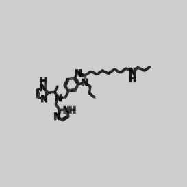 CCCNCCCCCCCc1nc2ccc(CN(Cc3ncc[nH]3)C(C)c3ncc[nH]3)cc2n1CCC